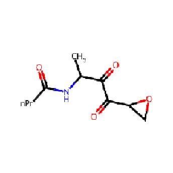 CCCC(=O)NC(C)C(=O)C(=O)C1CO1